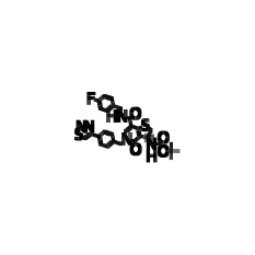 CC(C)(C)OC(=O)N[C@H]1CSc2c(C(=O)NCc3ccc(F)cc3)cn(Cc3ccc(-c4csnn4)cc3)c(=O)c21